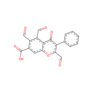 O=Cc1oc2cc(C(=O)O)c(C=O)c(C=O)c2c(=O)c1-c1ccccc1